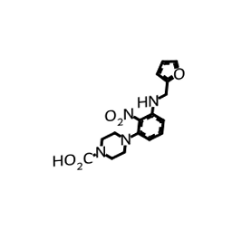 O=C(O)N1CCN(c2cccc(NCc3ccco3)c2[N+](=O)[O-])CC1